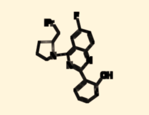 CC(C)CC1CCCN1c1nc(-c2ccccc2O)nc2ccc(F)cc12